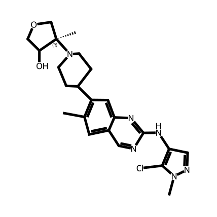 Cc1cc2cnc(Nc3cnn(C)c3Cl)nc2cc1C1CCN([C@]2(C)COCC2O)CC1